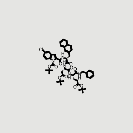 CC(C)(C)OC(=O)CC[C@H](NC(=O)[C@H](CC(=O)OC(C)(C)C)NC(=O)[C@H](Cc1ccc2ccccc2c1)NC(=O)c1cc2cc(Cl)ccc2n1C(=O)OC(C)(C)C)C(=O)NCc1ccccc1